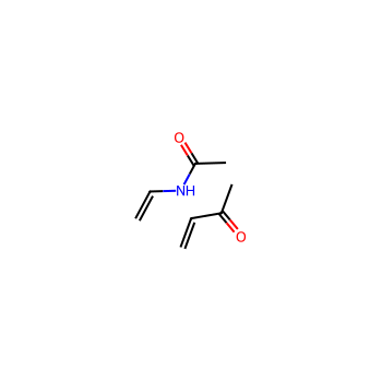 C=CC(C)=O.C=CNC(C)=O